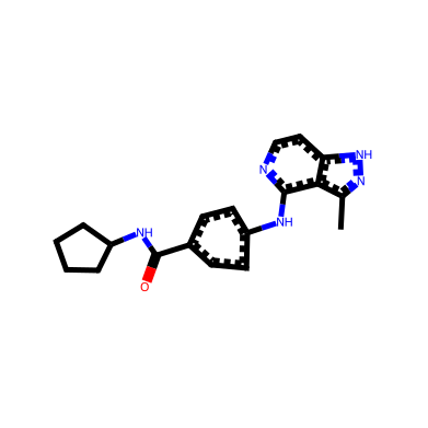 Cc1n[nH]c2ccnc(Nc3ccc(C(=O)NC4CCCC4)cc3)c12